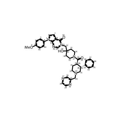 COc1ccc(-n2ccc3c(=O)n(CC4(O)CCN(C(=O)[C@@H]5CCN(Cc6cnccn6)C[C@H]5c5ccccc5)CC4)cnc32)cc1